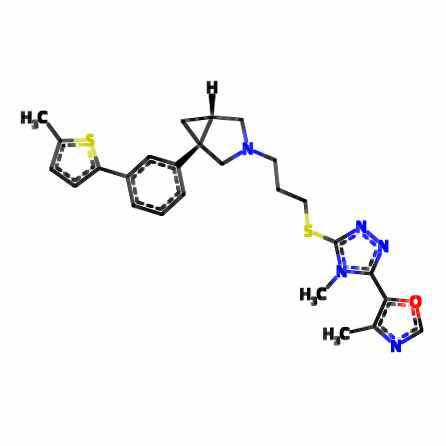 Cc1ccc(-c2cccc([C@@]34C[C@@H]3CN(CCCSc3nnc(-c5ocnc5C)n3C)C4)c2)s1